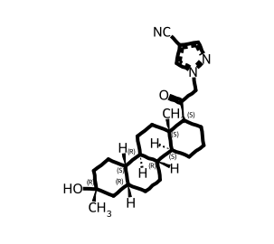 C[C@@]1(O)CC[C@H]2[C@H](CC[C@@H]3[C@@H]2CC[C@]2(C)[C@@H](C(=O)Cn4cc(C#N)cn4)CCC[C@@H]32)C1